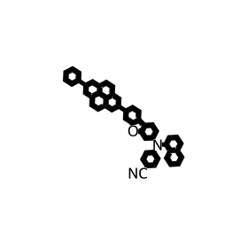 N#Cc1ccc(N(c2ccc3c(c2)oc2cc(-c4cc5ccc6cc(-c7ccccc7)cc7ccc(c4)c5c67)ccc23)c2cccc3ccccc23)cc1